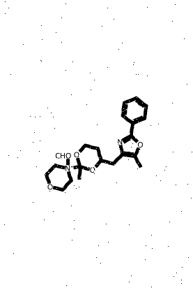 Cc1oc(-c2ccccc2)nc1CC1CCOC(C)([N+]2(C=O)CCOCC2)O1